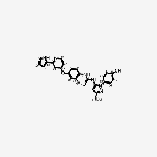 CC(C)(C)c1cc(NC(=O)Nc2ccc(Oc3ccnc(-c4ccn[nH]4)c3)cc2F)n(-c2ccc(C#N)cc2)n1